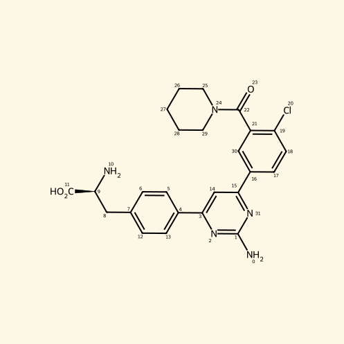 Nc1nc(-c2ccc(C[C@H](N)C(=O)O)cc2)cc(-c2ccc(Cl)c(C(=O)N3CCCCC3)c2)n1